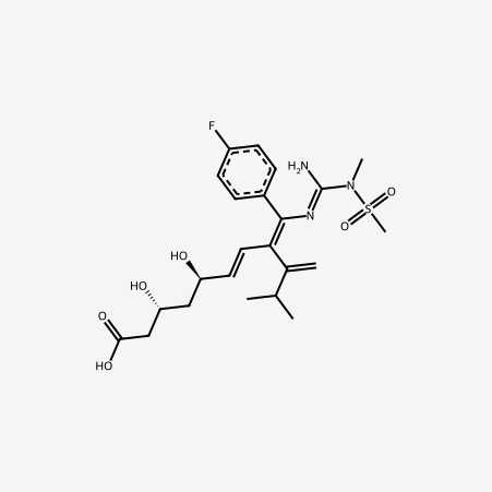 C=C(C(/C=C/[C@H](O)C[C@@H](O)CC(=O)O)=C(\N=C(/N)N(C)S(C)(=O)=O)c1ccc(F)cc1)C(C)C